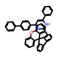 C1=C(c2ccccc2)NC(c2cccc3c2C2(c4ccccc4Oc4ccccc42)c2ccccc2-3)N=C1c1ccc(-c2ccccc2)cc1